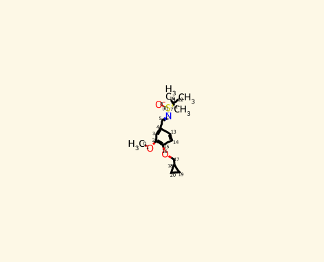 COc1cc(C=N[S@@+]([O-])C(C)(C)C)ccc1OCC1CC1